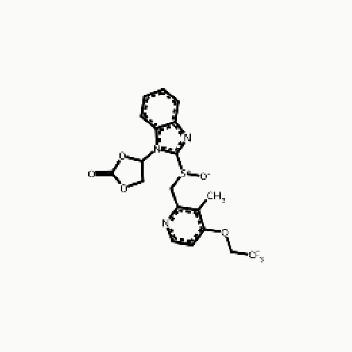 Cc1c(OCC(F)(F)F)ccnc1C[S+]([O-])c1nc2ccccc2n1C1COC(=O)O1